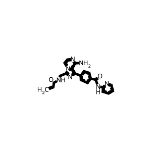 C=CC(=O)NCc1nc(-c2ccc(C(=O)Nc3ccccn3)cc2)c2c(N)nccn12